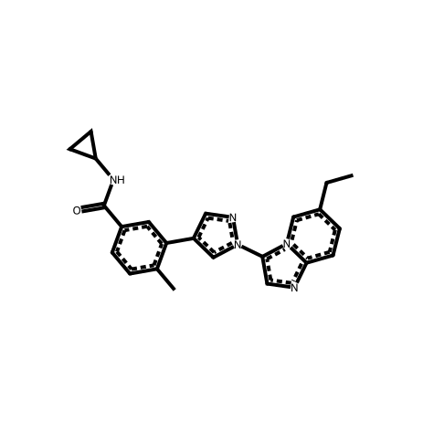 CCc1ccc2ncc(-n3cc(-c4cc(C(=O)NC5CC5)ccc4C)cn3)n2c1